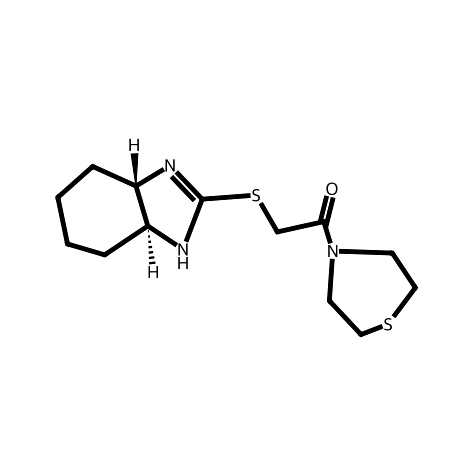 O=C(CSC1=N[C@H]2CCCC[C@@H]2N1)N1CCSCC1